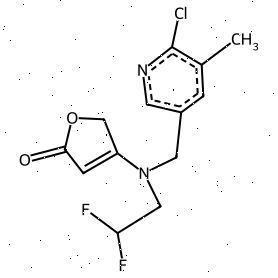 Cc1cc(CN(CC(F)F)C2=CC(=O)OC2)cnc1Cl